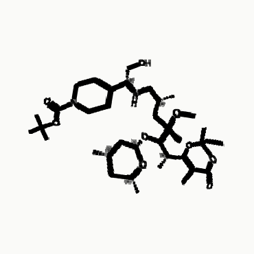 COC(C)(C[C@@H](C)CN[C@@H](CO)C1CCN(C(=O)OC(C)(C)C)CC1)C(O[C@H]1C[C@@H](C)C[C@@H](C)O1)[C@@H](C)C1=C(C)C(=O)OC(C)(C)O1